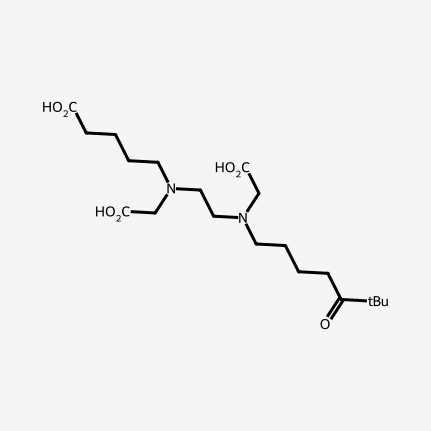 CC(C)(C)C(=O)CCCCN(CCN(CCCCC(=O)O)CC(=O)O)CC(=O)O